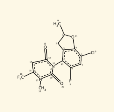 CC1Cc2c(c(Cl)cc(F)c2-n2c(=O)cc(C(F)(F)F)n(C)c2=O)O1